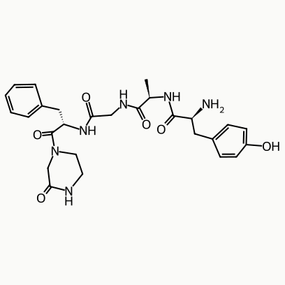 C[C@@H](NC(=O)[C@@H](N)Cc1ccc(O)cc1)C(=O)NCC(=O)N[C@@H](Cc1ccccc1)C(=O)N1CCNC(=O)C1